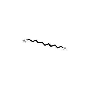 [CH2]CCCCCC/C=C/CCCC